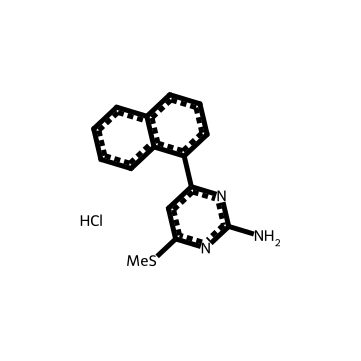 CSc1cc(-c2cccc3ccccc23)nc(N)n1.Cl